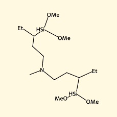 CCC(CCN(C)CCC(CC)[SiH](OC)OC)[SiH](OC)OC